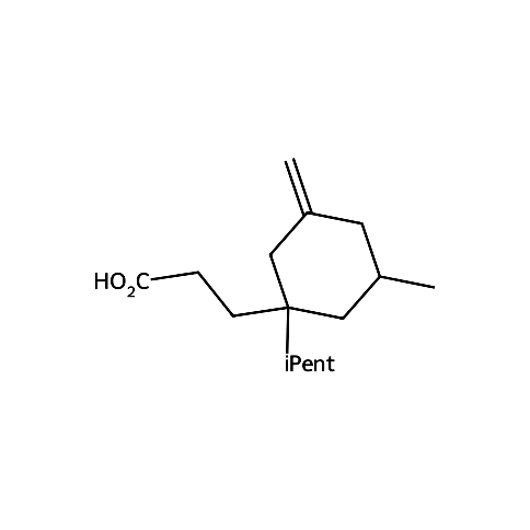 C=C1CC(C)CC(CCC(=O)O)(C(C)CCC)C1